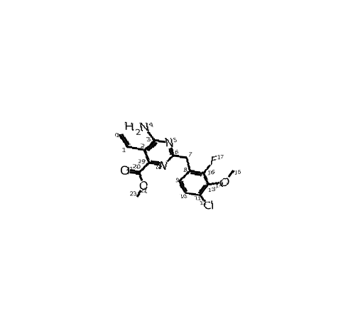 C=Cc1c(N)nc(Cc2ccc(Cl)c(OC)c2F)nc1C(=O)OC